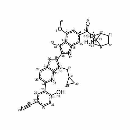 COc1cc(C(=O)N2CC3CCC2[C@@H]3N)cc2nc(-c3cc4ccc(-c5cc(C#N)ccc5O)nc4n3CC3CC3)n(C)c12